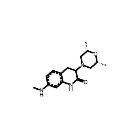 CNc1ccc2c(c1)NC(=O)C(N1C[C@@H](C)O[C@@H](C)C1)C2